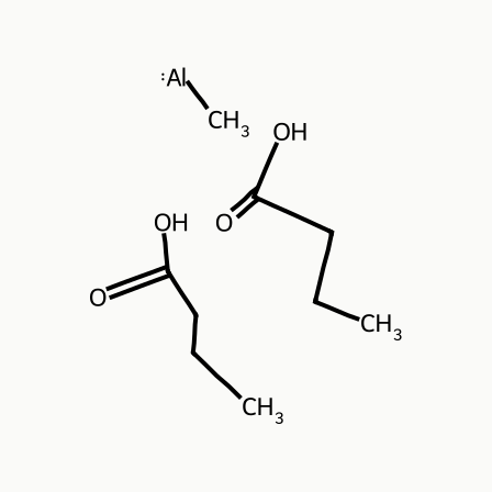 CCCC(=O)O.CCCC(=O)O.[CH3][Al]